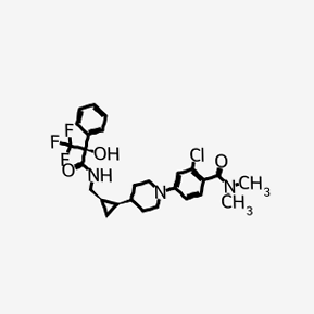 CN(C)C(=O)c1ccc(N2CCC([C@H]3C[C@H]3CNC(=O)[C@@](O)(c3ccccc3)C(F)(F)F)CC2)cc1Cl